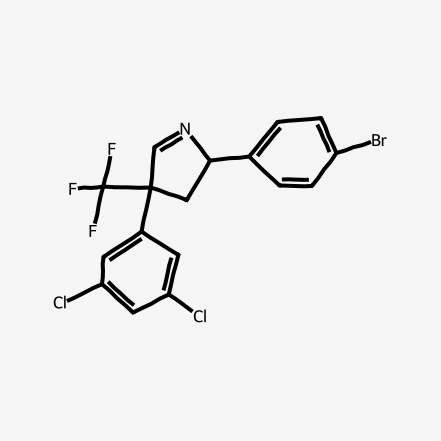 FC(F)(F)C1(c2cc(Cl)cc(Cl)c2)C=NC(c2ccc(Br)cc2)C1